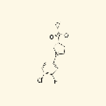 O=S(=O)(C1CC1)C1CCN(c2ccc(Cl)c(F)c2)C1